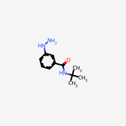 CC(C)(C)NC(=O)c1cccc(NN)c1